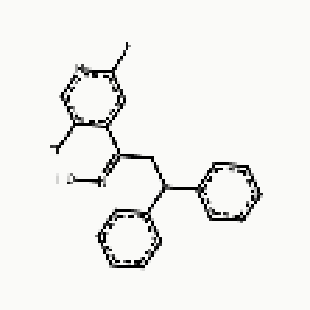 ON=C(CC(c1ccccc1)c1ccccc1)c1cc(F)ncc1Cl